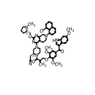 C=C(COc1c(OC)cc(C(=O)c2c[nH]c3cc(OC)ccc23)cc1OC)C(=O)N1CCN(c2nc(OC[C@@H]3CCCN3C)nc3c2CCN(c2cccc4cccc(Cl)c24)C3)C[C@@H]1CC#N